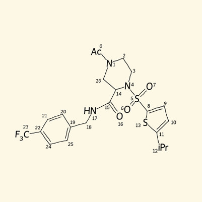 CC(=O)N1CCN(S(=O)(=O)c2ccc(C(C)C)s2)C(C(=O)NCc2ccc(C(F)(F)F)cc2)C1